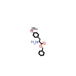 CC(C)(C)Oc1ccc(C[C@H](N)C(=O)OCc2ccccc2)cc1